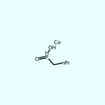 CCCC[PH](=O)O.[Co]